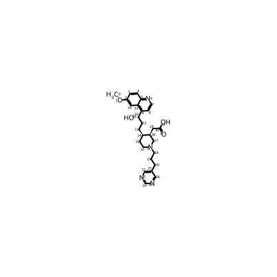 COc1ccc2nccc([C@@H](O)CC[C@@H]3CCN(CCCc4cncnc4)C[C@@H]3CC(=O)O)c2c1